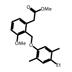 CCc1cc(C)c(OCc2c(CC(=O)OC)cccc2OC)cc1C